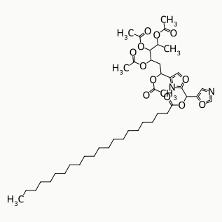 CCCCCCCCCCCCCCCCCCCCCC(=O)OC(c1cnco1)c1nc(C(CC(OC(C)=O)C(OC(C)=O)C(C)OC(C)=O)OC(C)=O)co1